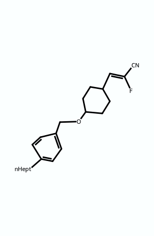 CCCCCCCc1ccc(COC2CCC(C=C(F)C#N)CC2)cc1